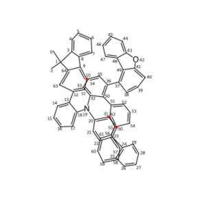 CC1(C)c2ccccc2-c2ccc(-c3ccccc3N(c3ccc(-c4ccccc4)cc3)c3cccc(-c4cccc5oc6ccccc6c45)c3-c3cccc(-c4ccccc4)c3)cc21